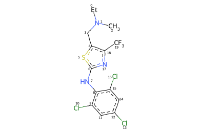 CCN(C)Cc1sc(Nc2c(Cl)cc(Cl)cc2Cl)nc1C(F)(F)F